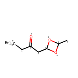 CCOC(=O)CC(=O)CC1OC(C)O1